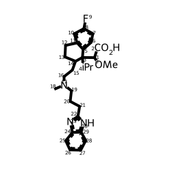 COC(C(=O)O)C1(C(C)C)c2ccc(F)cc2CCC1CCN(C)CCCc1nc2ccccc2[nH]1